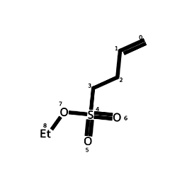 C=CCCS(=O)(=O)OCC